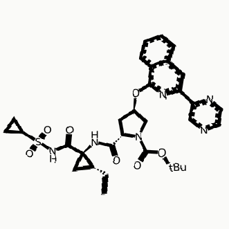 C=C[C@@H]1C[C@]1(NC(=O)[C@@H]1C[C@@H](Oc2nc(-c3cnccn3)cc3ccccc23)CN1C(=O)OC(C)(C)C)C(=O)NS(=O)(=O)C1CC1